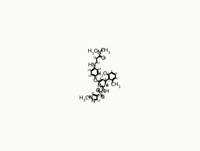 Cc1cccc(C)c1-c1cc(Oc2ccc(NCCC(=O)N(C)C)cc2)nc(NS(=O)(=O)c2cnn(C)c2)n1